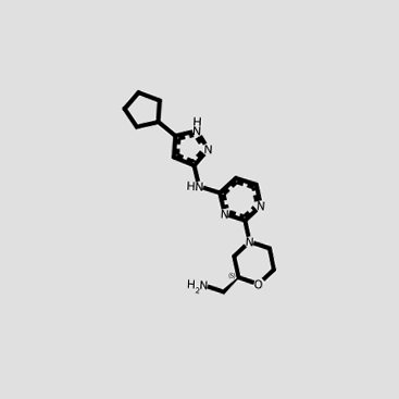 NC[C@H]1CN(c2nccc(Nc3cc(C4CCCC4)[nH]n3)n2)CCO1